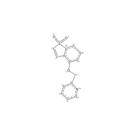 O=S1(=O)C=Cc2c(OCc3ccccn3)cccc21